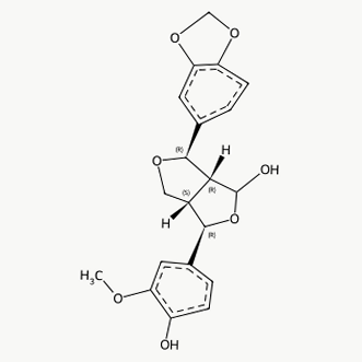 COc1cc([C@@H]2OC(O)[C@@H]3[C@H]2CO[C@H]3c2ccc3c(c2)OCO3)ccc1O